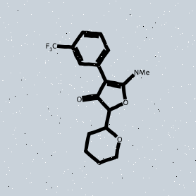 CNC1=C(c2cccc(C(F)(F)F)c2)C(=O)C(C2CCCCO2)O1